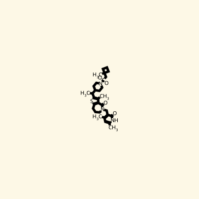 Cc1cc(C)c(CN2CCCc3sc(C(C)C4CCN(S(=O)(=O)CC5(C)CCC5)CC4)c(C)c3C2=O)c(=O)[nH]1